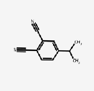 CC(C)c1ccc(C#N)c(C#N)c1